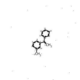 [CH2]c1cccc(C(=C)c2ccccc2)c1